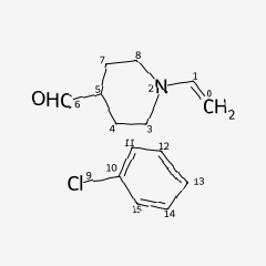 C=CN1CCC(C=O)CC1.Clc1ccccc1